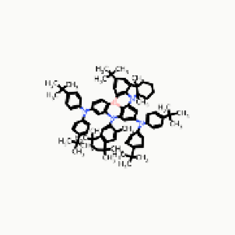 Cc1cc2c(cc1N1c3cc(N(c4ccc(C(C)(C)C)cc4)c4ccc(C(C)(C)C)cc4)ccc3B3c4cc(C(C)(C)C)cc5c4N(c4cc(N(c6ccc(C(C)(C)C)cc6)c6ccc(C(C)(C)C)cc6)cc1c43)C1(C)CCCCC51C)C(C)(C)CCC2(C)C